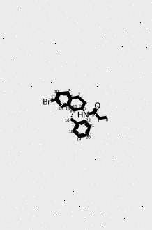 CCC(=O)N[C@H]1CCc2ccc(Br)cc2[C@H]1Cc1ccccc1